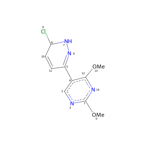 COc1ncc(C2=NNC(Cl)C=C2)c(OC)n1